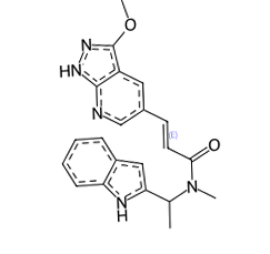 COc1n[nH]c2ncc(/C=C/C(=O)N(C)C(C)c3cc4ccccc4[nH]3)cc12